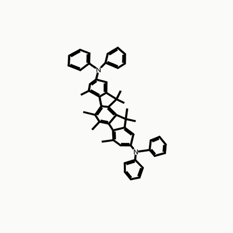 Cc1cc(N(c2ccccc2)c2ccccc2)cc2c1-c1c(C)c(C)c3c(c1C2(C)C)C(C)(C)c1cc(N(c2ccccc2)c2ccccc2)cc(C)c1-3